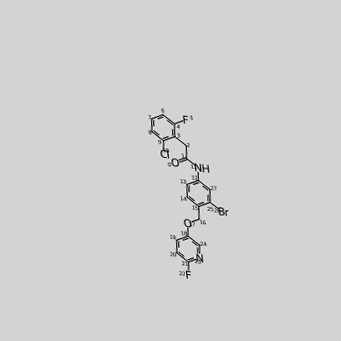 O=C(Cc1c(F)cccc1Cl)Nc1ccc(COc2ccc(F)nc2)c(Br)c1